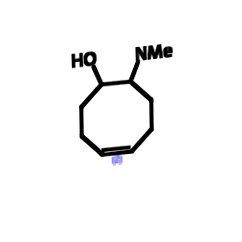 CNC1CC/C=C\CCC1O